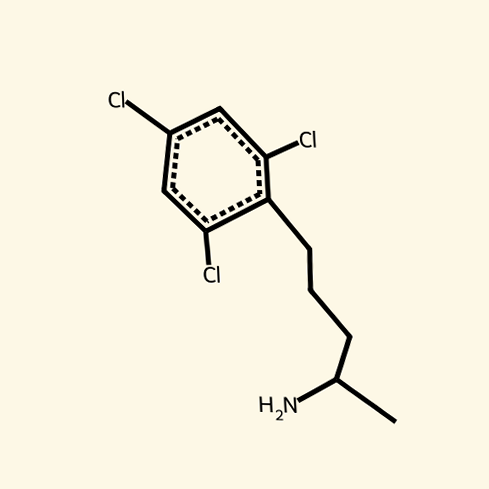 CC(N)CCCc1c(Cl)cc(Cl)cc1Cl